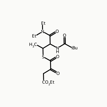 CCOC(=O)CC(=O)C(=O)SC(C)C(NC(=O)C(C)CC)C(=O)N(CC)CC